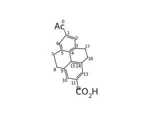 CC(=O)c1cc2c3c(c1)CCc1cc(C(=O)O)cc(c1-3)CC2